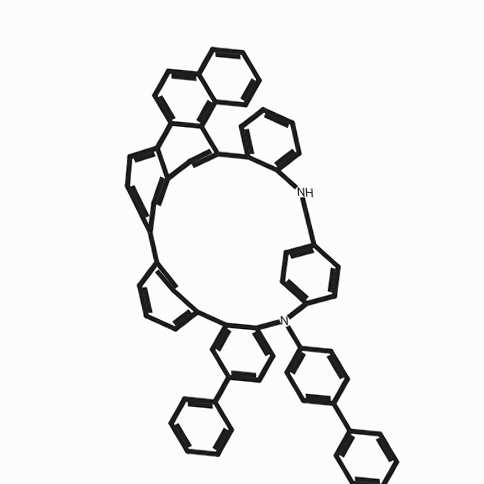 c1ccc(-c2ccc(N3c4ccc(cc4)Nc4ccccc4-c4cc5cc(ccc5c5ccc6ccccc6c45)-c4cccc(c4)-c4cc(-c5ccccc5)ccc43)cc2)cc1